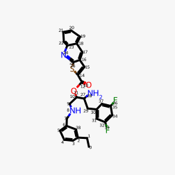 CCc1cccc(CNCC(OC(=O)c2cc3cc4ccccc4nc3s2)C(N)Cc2cc(F)cc(F)c2)c1